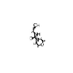 C#CCNC(=O)N1CCOCC1